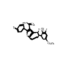 CNC(=O)c1c(-c2ccc(F)cc2)oc2ccc(-c3cc(C=O)cc(F)c3C)c(F)c12